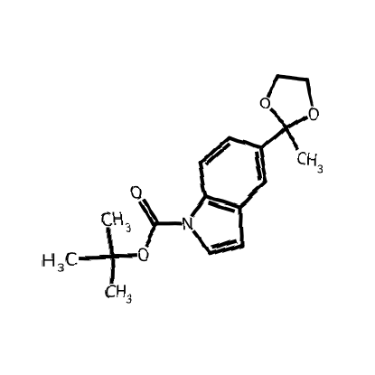 CC(C)(C)OC(=O)n1ccc2cc(C3(C)OCCO3)ccc21